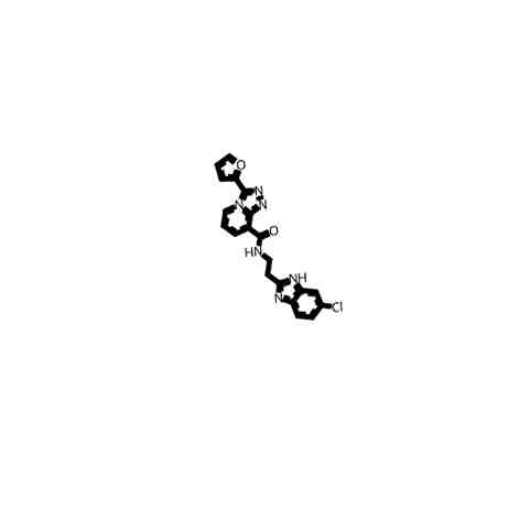 O=C(NCCc1nc2ccc(Cl)cc2[nH]1)c1cccn2c(-c3ccco3)nnc12